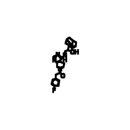 O=C(Cc1ccc(F)cc1)N1CCc2c(ncnc2NCC(O)C23CC4CC(CC(C4)C2)C3)C1